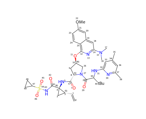 C=C[C@@H]1C[C@]1(NC(=O)[C@@H]1C[C@@H](Oc2nc(N(C)C)cc3cc(OC)ccc23)CN1C(=O)C(Nc1cc(C)cc(C)n1)C(C)(C)C)C(=O)NS(=O)(=O)C1CC1